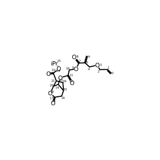 C=CCOCC(=C)C(=O)OCC(=O)OC1C2CC(=O)OC1C(C(=O)OC(C)C)C2